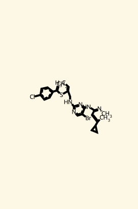 C=C(S/C(=C\C)CNc1ncc(Br)c(NC(/C=C(\C)C2CC2)=N/C)n1)c1ccc(Cl)cc1